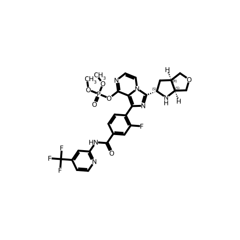 COP(=O)(OC)Oc1nccn2c([C@@H]3C[C@H]4COC[C@H]4N3)nc(-c3ccc(C(=O)Nc4cc(C(F)(F)F)ccn4)cc3F)c12